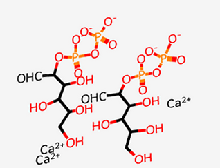 O=CC(OP(=O)([O-])OP(=O)([O-])[O-])C(O)C(O)C(O)CO.O=CC(OP(=O)([O-])OP(=O)([O-])[O-])C(O)C(O)C(O)CO.[Ca+2].[Ca+2].[Ca+2]